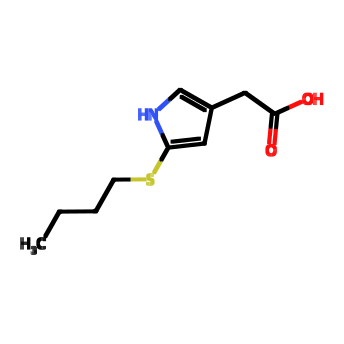 CCCCSc1cc(CC(=O)O)c[nH]1